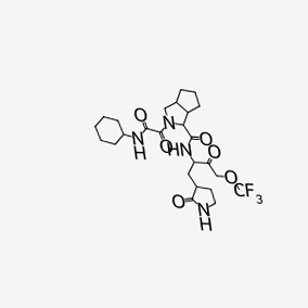 O=C(NC1CCCCC1)C(=O)N1CC2CCCC2C1C(=O)NC(CC1CCNC1=O)C(=O)COC(F)(F)F